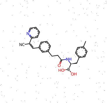 Cc1ccc(C[C@H](NC(=O)CCc2cccc(C=C(C#N)c3ccccn3)c2)B(O)O)cc1